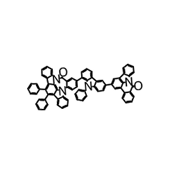 O=c1c2ccccc2c2cc(-c3ccc4c(c3)c3cccc(-c5ccc6c(c5)c(=O)n5c7ccccc7c7c(-c8ccccc8)c(-c8ccccc8)c8c9ccccc9n6c8c75)c3n4-c3ccccc3)cc3c4ccccc4n1c23